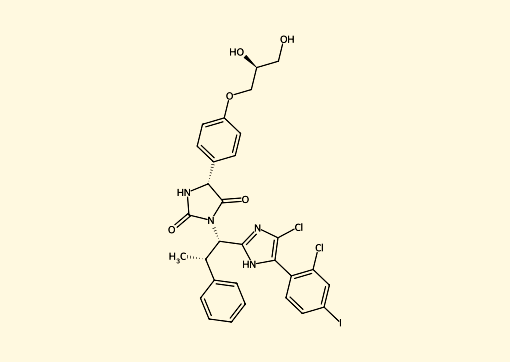 C[C@@H](c1ccccc1)[C@@H](c1nc(Cl)c(-c2ccc(I)cc2Cl)[nH]1)N1C(=O)N[C@H](c2ccc(OC[C@@H](O)CO)cc2)C1=O